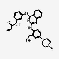 C=CC(=O)Nc1cccc(Oc2nc(Nc3ccc(N4CCN(C)CC4)cc3CO)nc3ccccc23)c1